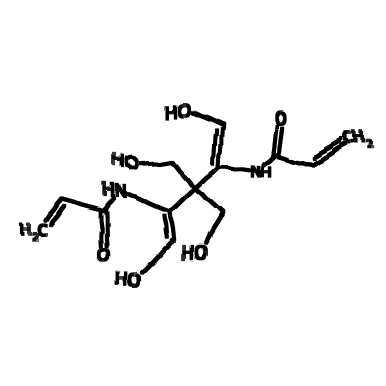 C=CC(=O)NC(=CO)C(CO)(CO)C(=CO)NC(=O)C=C